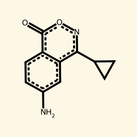 Nc1ccc2c(=O)onc(C3CC3)c2c1